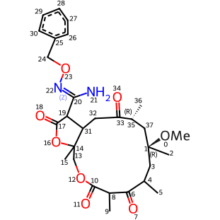 CO[C@@]1(C)CC(C)C(=O)C(C)C(=O)OCC2(C)OC(=O)C(/C(N)=N/OCc3ccccc3)C2CC(=O)[C@H](C)C1